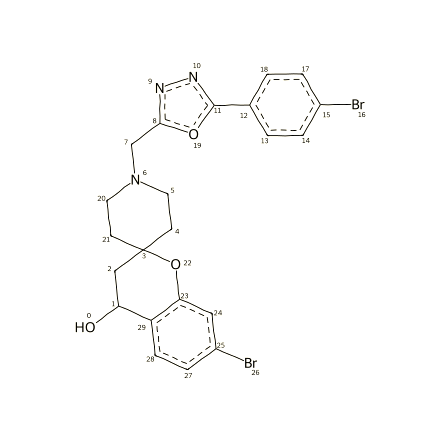 OC1CC2(CCN(Cc3nnc(-c4ccc(Br)cc4)o3)CC2)Oc2cc(Br)ccc21